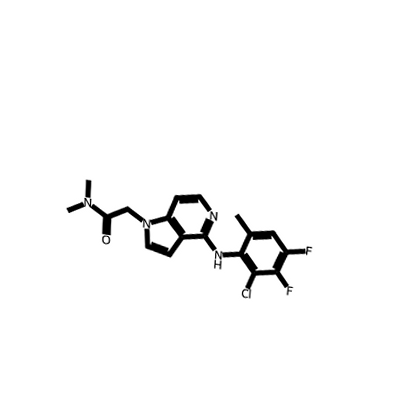 Cc1cc(F)c(F)c(Cl)c1Nc1nccc2c1ccn2CC(=O)N(C)C